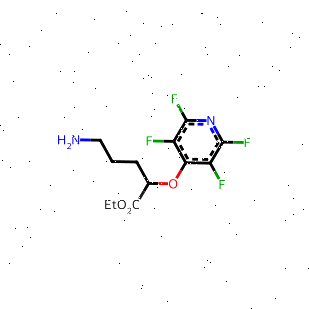 CCOC(=O)C(CCCN)Oc1c(F)c(F)nc(F)c1F